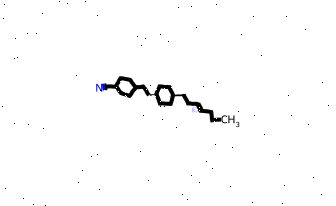 CCC/C=C/CC[C@H]1CC[C@H](CCC2CCC(C#N)CC2)CC1